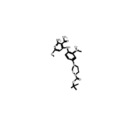 CSc1cc(Nc2ccc(N3CCN(C(=O)OC(C)(C)C)CC3)cc2[S+](C)[O-])c(C(N)=O)c(N)n1